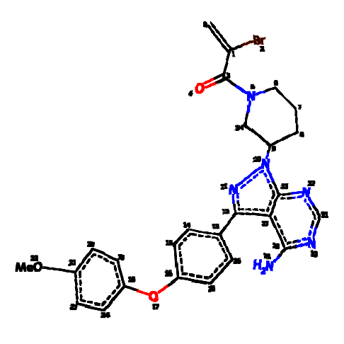 C=C(Br)C(=O)N1CCCC(n2nc(-c3ccc(Oc4ccc(OC)cc4)cc3)c3c(N)ncnc32)C1